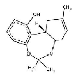 CC1=CCC2OC(C)(C)Oc3cccc(O)c3[C@@H]2C1